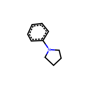 [CH]1CCCN1c1ccccc1